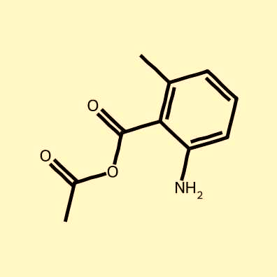 CC(=O)OC(=O)c1c(C)cccc1N